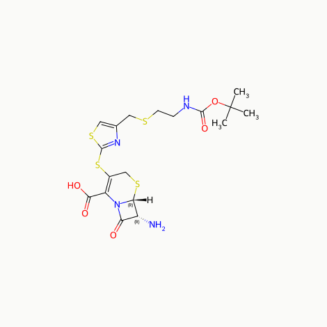 CC(C)(C)OC(=O)NCCSCc1csc(SC2=C(C(=O)O)N3C(=O)[C@@H](N)[C@H]3SC2)n1